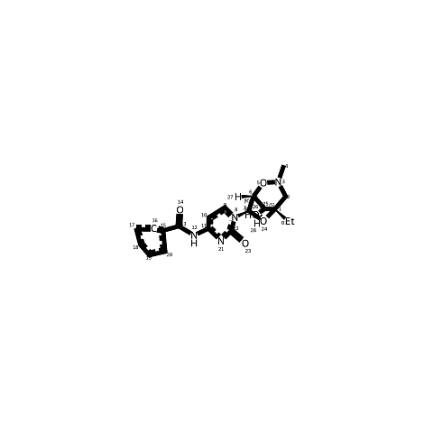 CC[C@@]12CN(C)O[C@@H]([C@H](n3ccc(NC(=O)c4ccccc4)nc3=O)O1)[C@@H]2O